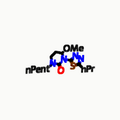 CCCCCN1CCC(OC)N(c2nnc(CCC)s2)C1=O